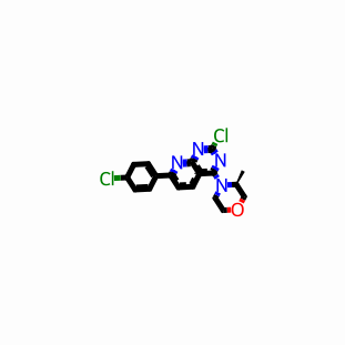 C[C@H]1COCCN1c1nc(Cl)nc2nc(C3=CCC(Cl)C=C3)ccc12